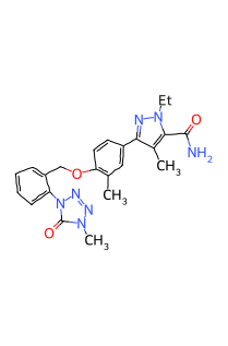 CCn1nc(-c2ccc(OCc3ccccc3-n3nnn(C)c3=O)c(C)c2)c(C)c1C(N)=O